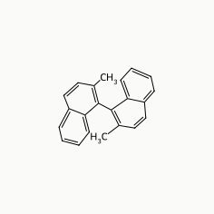 Cc1ccc2ccccc2c1-c1c(C)ccc2ccccc12